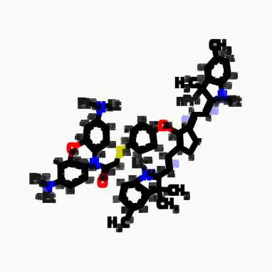 CCCC1(C)/C(=C\C=C2/CCC(/C=C/C3=[N+](CC)c4ccc(C)cc4C3(C)C)=C2Oc2ccc(SCC(=O)N3c4ccc(N(CC)CC)cc4Oc4cc(N(CC)CC)ccc43)cc2)N(CC)c2ccc(C)cc21